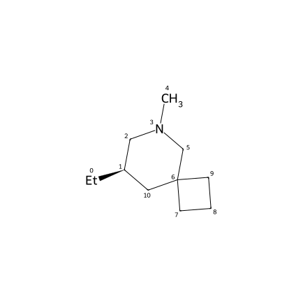 CC[C@H]1CN(C)CC2(CCC2)C1